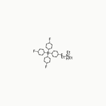 CC[NH+](CC)CC.Fc1ccc([B-](c2ccc(F)cc2)(c2ccc(F)cc2)c2ccc(F)cc2)cc1